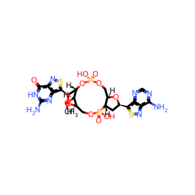 CO[C@H]1[C@H]2OP(=O)(O)OC[C@H]3O[C@@H](c4snc5c(N)ncnc45)C[C@@H]3P(=O)(O)OC[C@H]1O[C@H]2c1snc2c(=O)[nH]c(N)nc12